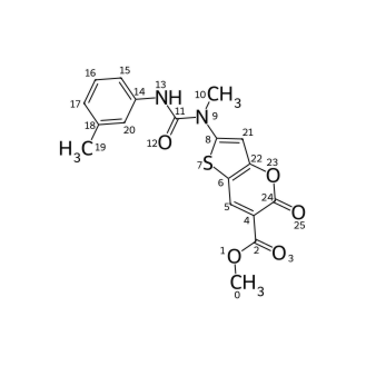 COC(=O)c1cc2sc(N(C)C(=O)Nc3cccc(C)c3)cc2oc1=O